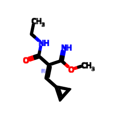 CCNC(=O)/C(=C/C1=CC1)C(=N)OC